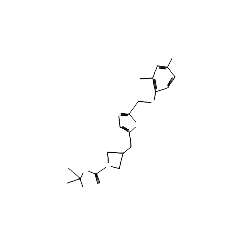 CC(C)(C)OC(=O)N1CC(Cc2cnc(COc3ccc(Cl)cc3Cl)o2)C1